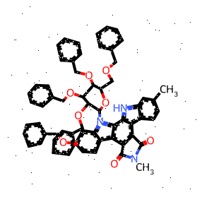 Cc1ccc2c(c1)[nH]c1c2c2c(c3c4ccc(OCc5ccccc5)cc4n(C4OC(COCc5ccccc5)C(OCc5ccccc5)C(OCc5ccccc5)C4OCc4ccccc4)c13)C(=O)N(C)C2=O